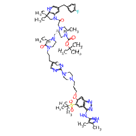 Cc1n[nH]c(Nc2ncnc3cc(OCCCN4CCN(c5ncc(CCCN6CCN(C[C@H]7CN(C(=O)OC(C)(C)C)[C@H](C)CN7CC(=O)N7CC(C)(C)c8ncc(Cc9ccc(F)cc9)cc87)[C@H](C)C6=O)cn5)CC4)c(S(=O)(=O)C(C)(C)C)cc23)c1C